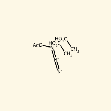 CC(=O)O.CC(=O)O.CC(=O)ON=[N+]=[N-]